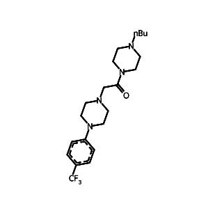 CCCCN1CCN(C(=O)CN2CCN(c3ccc(C(F)(F)F)cc3)CC2)CC1